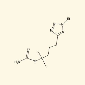 CCn1nnc(CCCC(C)(C)OC(N)=O)n1